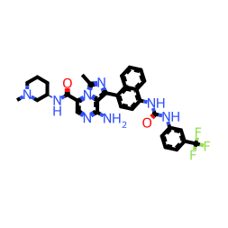 Cc1nc(-c2ccc(NC(=O)Nc3cccc(C(F)(F)F)c3)c3ccccc23)c2c(N)ncc(C(=O)N[C@H]3CCCN(C)C3)n12